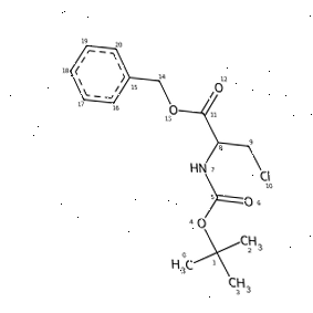 CC(C)(C)OC(=O)NC(CCl)C(=O)OCc1ccccc1